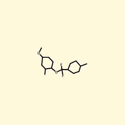 COC1CCC(OC(F)(F)C2CCC(C)CC2)C(C)C1